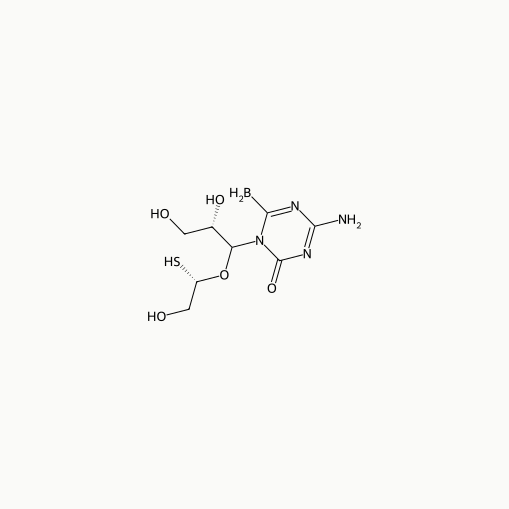 Bc1nc(N)nc(=O)n1C(O[C@@H](S)CO)[C@@H](O)CO